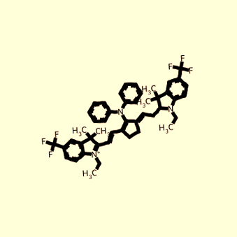 CCN1c2ccc(C(F)(F)F)cc2C(C)(C)C1CC=C1CCC(C=CC2=[N+](CC)c3ccc(C(F)(F)F)cc3C2(C)C)=C1N(c1ccccc1)c1ccccc1